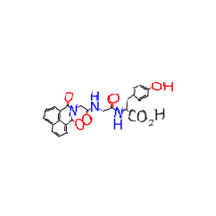 O=C(CN1C(=O)c2cccc3cccc(c23)C1=O)NCC(=O)NC(Cc1ccc(O)cc1)C(=O)O